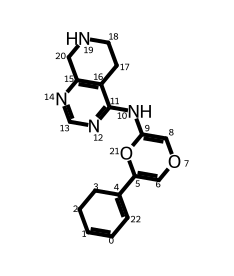 C1=CCCC(C2=COC=C(Nc3ncnc4c3CCNC4)O2)=C1